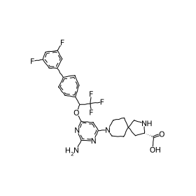 Nc1nc(OC(c2ccc(-c3cc(F)cc(F)c3)cc2)C(F)(F)F)cc(N2CCC3(CC2)CN[C@H](C(=O)O)C3)n1